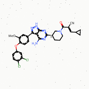 COc1cc(-c2n[nH]c3nc([C@@H]4CCCN(C(=O)C(C#N)=CC5CC5)C4)nc(N)c23)ccc1Oc1ccc(Cl)c(Cl)c1